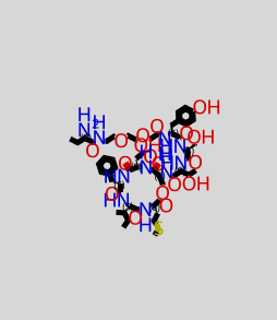 CCC(C)[C@@H]1NC(=O)[C@H](Cc2ccccc2)NC(=O)[C@H](CC(=O)O)NC(=O)[C@@H](NC(=O)[C@@H](NC(=O)[C@H](CO)NC(=O)[C@H](Cc2ccc(O)cc2)NC(=O)COCCOCCNC(=O)[C@@H](N)CC)C(C)O)COC(=O)[C@H](CCSC)NC1=O